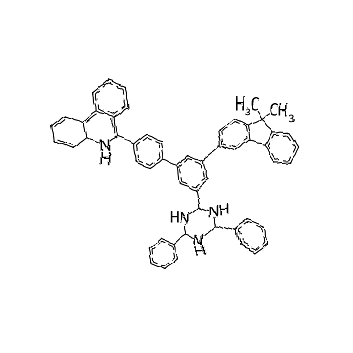 CC1(C)c2ccccc2-c2cc(-c3cc(-c4ccc(C5=c6ccccc6=C6C=CC=CC6N5)cc4)cc(C4NC(c5ccccc5)NC(c5ccccc5)N4)c3)ccc21